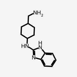 NCC1CCC(Nc2nc3ccccc3[nH]2)CC1